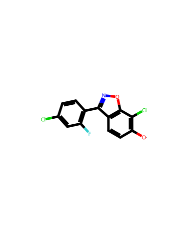 [O]c1ccc2c(-c3ccc(Cl)cc3F)noc2c1Cl